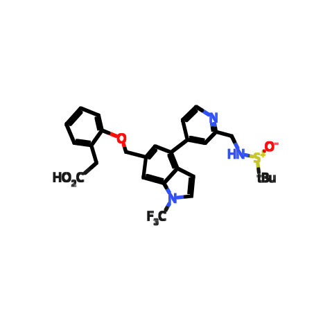 CC(C)(C)[S+]([O-])NCc1cc(-c2cc(COc3ccccc3CC(=O)O)cc3c2ccn3C(F)(F)F)ccn1